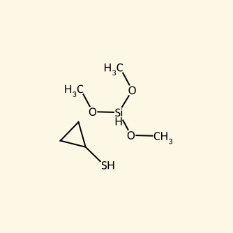 CO[SiH](OC)OC.SC1CC1